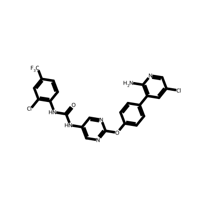 Nc1ncc(Cl)cc1-c1ccc(Oc2ncc(NC(=O)Nc3ccc(C(F)(F)F)cc3Cl)cn2)cc1